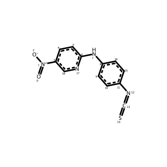 O=[N+]([O-])c1ccc(Nc2ccc(N=C=S)cc2)nc1